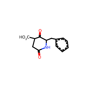 O=C1CC(C(=O)O)C(=O)C(Cc2ccccc2)N1